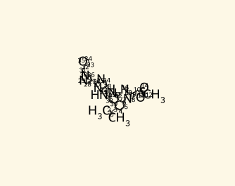 CC(C)c1ccc(N2C[C@H](CS(C)(=O)=O)[C@H]2N)c2cnc(Nc3ccnc(-c4cnn(CC5CCO5)c4)n3)cc12